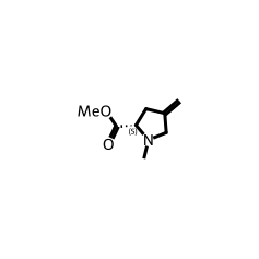 C=C1C[C@@H](C(=O)OC)N(C)C1